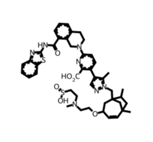 Cc1c(-c2ccc(N3CCc4cccc(C(=O)Nc5nc6ccccc6s5)c4C3)nc2C(=O)O)cnn1CC12CC(OCCN(C)CCS(=O)O)C=CC(C)(CC1C)C2